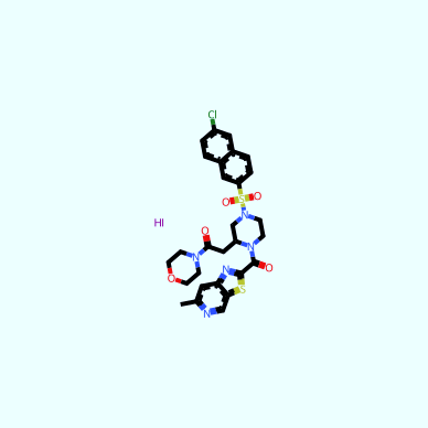 Cc1cc2nc(C(=O)N3CCN(S(=O)(=O)c4ccc5cc(Cl)ccc5c4)CC3CC(=O)N3CCOCC3)sc2cn1.I